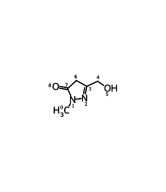 CN1N=C(CO)CC1=O